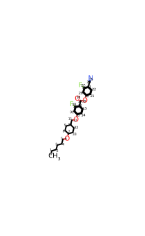 CCCCCCOC1CCC(COc2ccc(C(=O)Oc3ccc(C#N)c(F)c3)c(F)c2)CC1